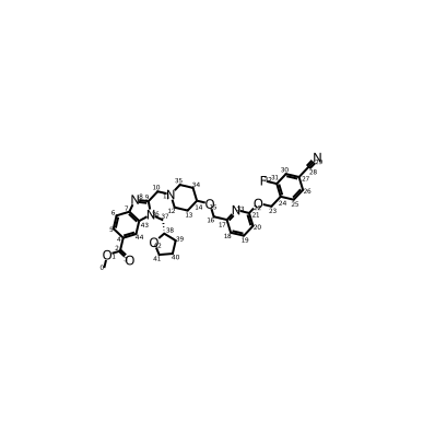 COC(=O)c1ccc2nc(CN3CCC(OCc4cccc(OCc5ccc(C#N)cc5F)n4)CC3)n(C[C@@H]3CCCO3)c2c1